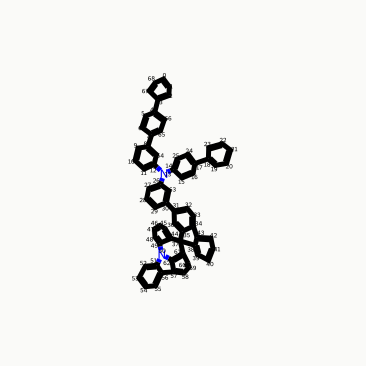 c1ccc(-c2ccc(-c3cccc(N(c4ccc(-c5ccccc5)cc4)c4cccc(-c5ccc6c(c5)C5(c7ccccc7-6)c6ccccc6-n6c7ccccc7c7cccc5c76)c4)c3)cc2)cc1